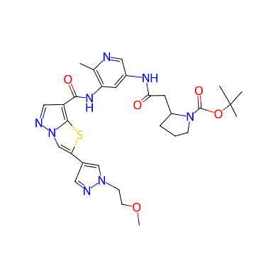 COCCn1cc(-c2cn3ncc(C(=O)Nc4cc(NC(=O)CC5CCCN5C(=O)OC(C)(C)C)cnc4C)c3s2)cn1